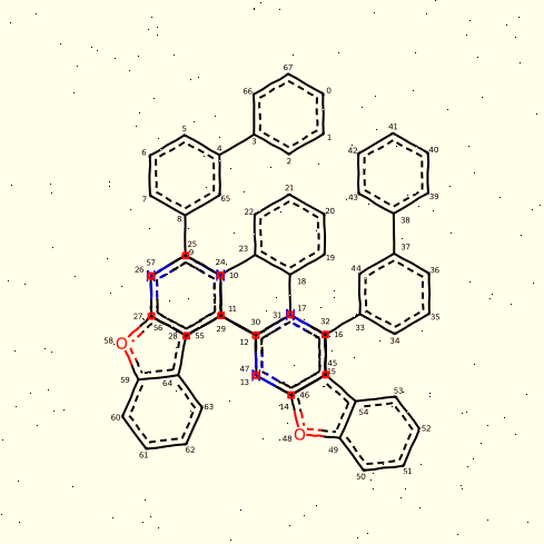 c1ccc(-c2cccc(-c3nc(-c4ccccc4-c4ccccc4-c4ccccc4-c4nc(-c5cccc(-c6ccccc6)c5)c5c(n4)oc4ccccc45)c4c(n3)oc3ccccc34)c2)cc1